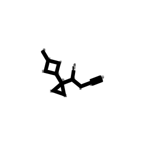 C#CCC(F)C1(C2CC(C)C2)CC1